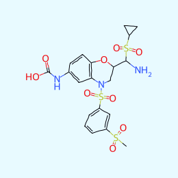 CS(=O)(=O)c1cccc(S(=O)(=O)N2CC(C(N)S(=O)(=O)C3CC3)Oc3ccc(NC(=O)O)cc32)c1